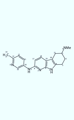 CNC1CCc2[nH]c3nc(Nc4ccc(C)nc4)ccc3c2C1